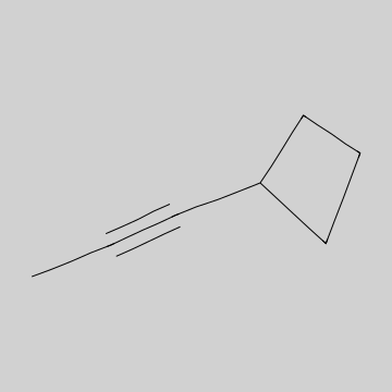 CC#CC1CCC1